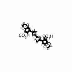 O=C(O)c1cc2c(cc1-c1csc(-c3nc(-c4cc5c(cc4C(=O)O)OCCO5)cs3)n1)OCCO2